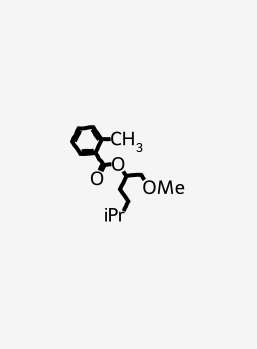 COCC(CCC(C)C)OC(=O)c1ccccc1C